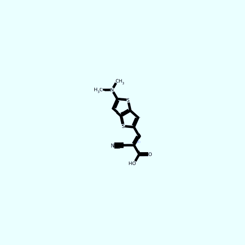 CN(C)c1cc2sc(/C=C(\C#N)C(=O)O)cc2s1